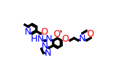 COC1C(OCCCN2CCOCC2)=CC=C2C3=NCCN3C(NC(=O)c3ccc(C)nc3)=NC21